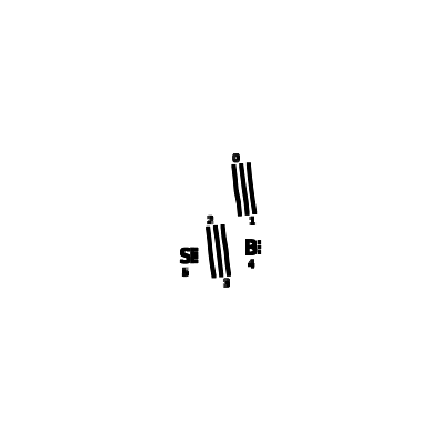 C#C.C#C.[B].[Si]